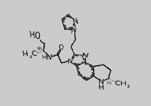 C[C@H](CO)NC(=O)Cn1c(CCn2cccn2)nc2c3c(ccc21)N[C@@H](C)CC3